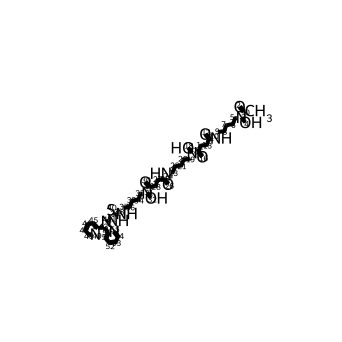 CC(=O)N(O)CCCCCNC(=O)CCC(=O)N(O)CCCCCNC(=O)CCC(=O)N(O)CCCCCNC(=S)NN=C(c1ccccn1)c1ccccn1